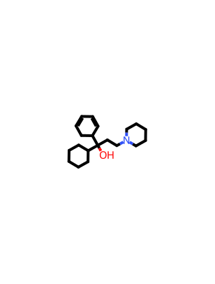 OC(CCN1CCCCC1)(C1C=CC=CC1)C1CCCCC1